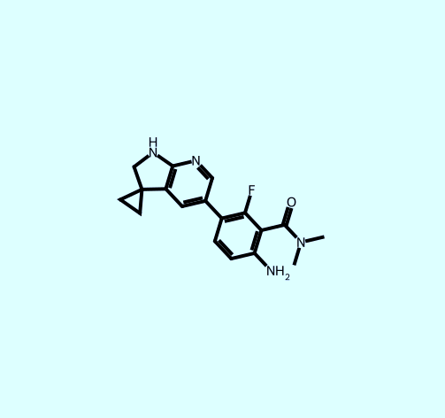 CN(C)C(=O)c1c(N)ccc(-c2cnc3c(c2)C2(CC2)CN3)c1F